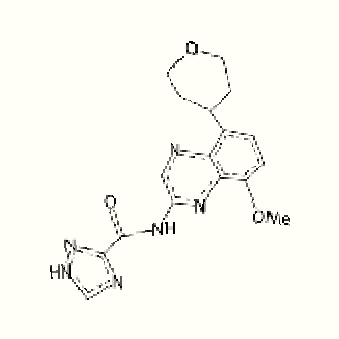 COc1ccc(C2CCOCC2)c2ncc(NC(=O)c3nc[nH]n3)nc12